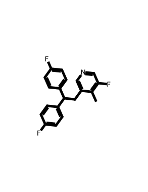 Cc1c(F)cncc1CC(c1ccc(F)cc1)c1ccc(F)cc1